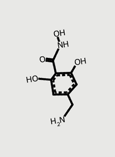 NCc1cc(O)c(C(=O)NO)c(O)c1